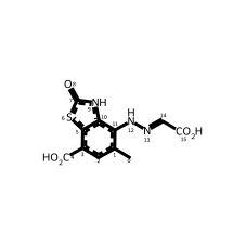 Cc1cc(C(=O)O)c2sc(=O)[nH]c2c1NN=CC(=O)O